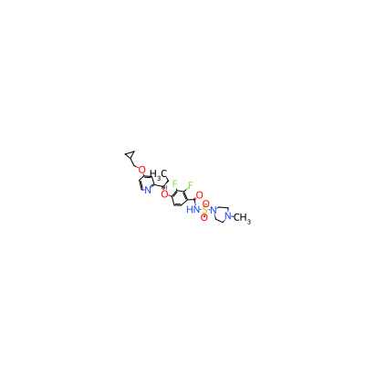 CC[C@@H](Oc1ccc(C(=O)NS(=O)(=O)N2CCN(C)CC2)c(F)c1F)c1cc(OCC2CC2)ccn1